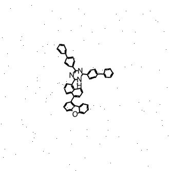 c1ccc(-c2ccc(C3=NC(c4cccc5c(-c6cccc7oc8ccccc8c67)cccc45)NC(c4ccc(-c5ccccc5)cc4)=N3)cc2)cc1